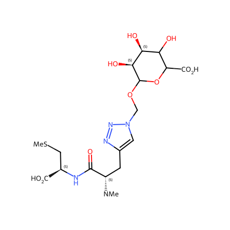 CN[C@@H](Cc1cn(COC2OC(C(=O)O)C(O)[C@H](O)[C@@H]2O)nn1)C(=O)N[C@H](CSC)C(=O)O